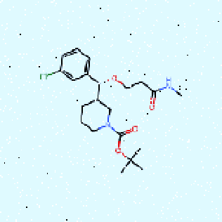 CNC(=O)CCO[C@@H](c1cccc(Cl)c1)C1CCCN(C(=O)OC(C)(C)C)C1